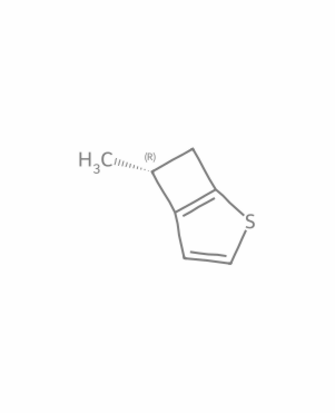 C[C@@H]1Cc2sccc21